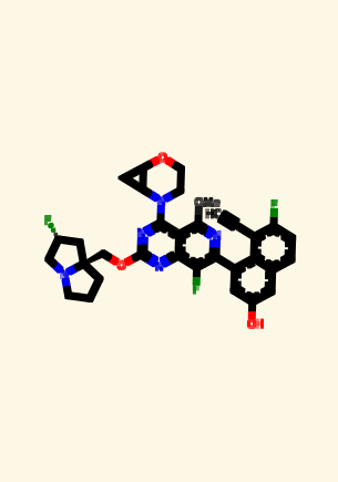 C#Cc1c(F)ccc2cc(O)cc(-c3nc(OC)c4c(N5CCOC6CC65)nc(OC[C@@]56CCCN5C[C@H](F)C6)nc4c3F)c12